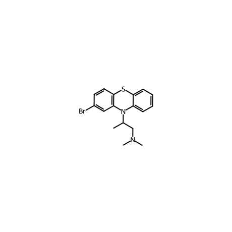 CC(CN(C)C)N1c2ccccc2Sc2ccc(Br)cc21